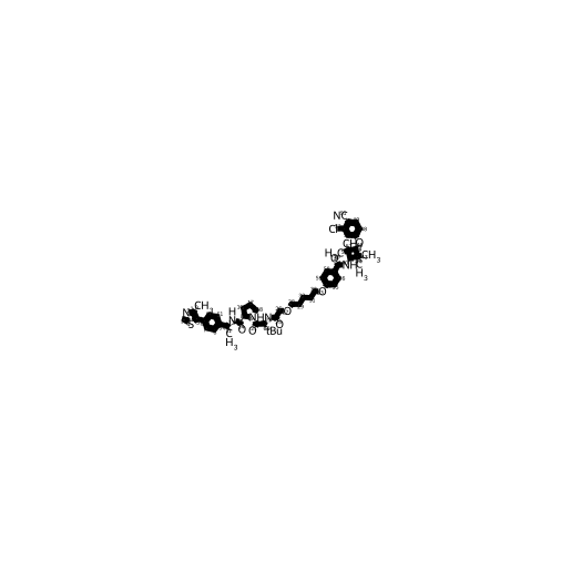 Cc1ncsc1-c1ccc([C@H](C)NC(=O)[C@@H]2CCCN2C(=O)[C@@H](NC(=O)COCCCCCOc2ccc(C(=O)N[C@H]3C(C)(C)[C@H](Oc4ccc(C#N)c(Cl)c4)C3(C)C)cc2)C(C)(C)C)cc1